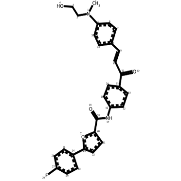 CN(CCO)c1ccc(/C=C/C(=O)c2ccc(NC(=O)c3ccc(-c4ccc(F)cc4)o3)cc2)cc1